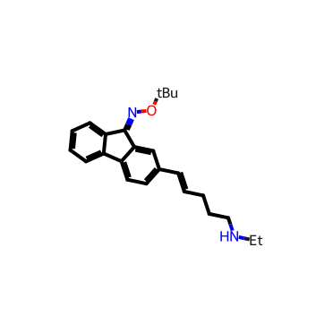 CCNCCC/C=C/c1ccc2c(c1)/C(=N\OC(C)(C)C)c1ccccc1-2